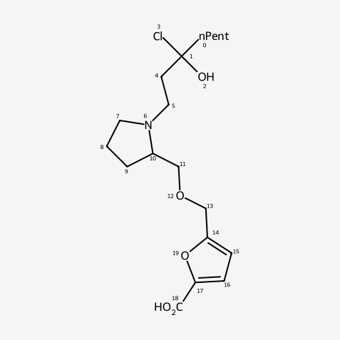 CCCCCC(O)(Cl)CCN1CCCC1COCc1ccc(C(=O)O)o1